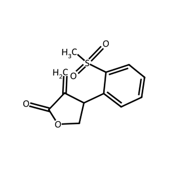 C=C1C(=O)OCC1c1ccccc1S(C)(=O)=O